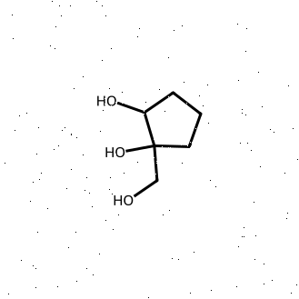 OCC1(O)CCCC1O